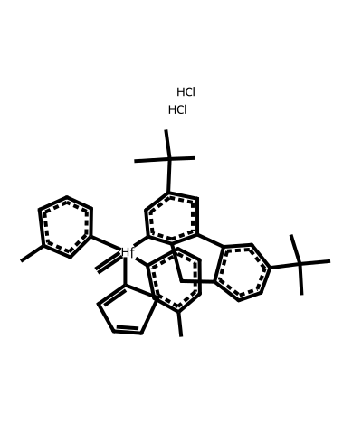 Cl.Cl.[CH2]=[Hf]([C]1=CC=CC1)([c]1cccc(C)c1)([c]1cccc(C)c1)[c]1cc(C(C)(C)C)cc2c1Cc1ccc(C(C)(C)C)cc1-2